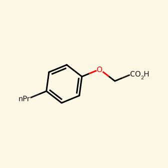 [CH2]CCc1ccc(OCC(=O)O)cc1